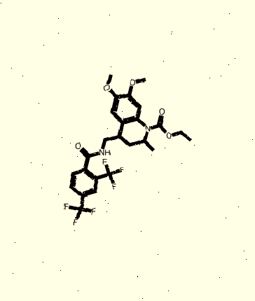 CCOC(=O)N1c2cc(OC)c(OC)cc2C(CNC(=O)c2ccc(C(F)(F)F)cc2C(F)(F)F)CC1C